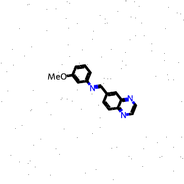 COc1cccc(/N=C/c2ccc3nccnc3c2)c1